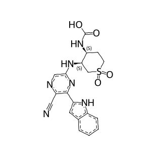 N#Cc1ncc(N[C@@H]2CS(=O)(=O)CC[C@@H]2NC(=O)O)nc1-c1cc2ccccc2[nH]1